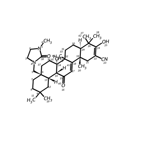 CN1CCN(C[C@]23CCC(C)(C)C[C@H]2[C@H]2C(=O)C=C4[C@@]5(C)CC(C#N)=C(O)C(C)(C)[C@@H]5CC[C@@]4(C)[C@]2(C)CC3)C1=O